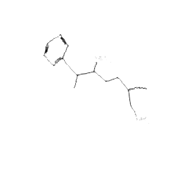 CC(CN)CCC(N)C(C)c1ccccc1